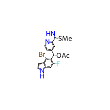 CSC(=N)c1cc(C(OC(C)=O)c2c(F)cc3[nH]ccc3c2Br)ccn1